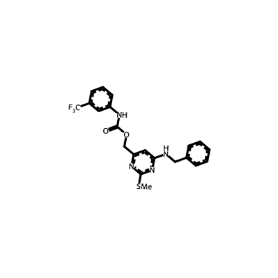 CSc1nc(COC(=O)Nc2cccc(C(F)(F)F)c2)cc(NCc2ccccc2)n1